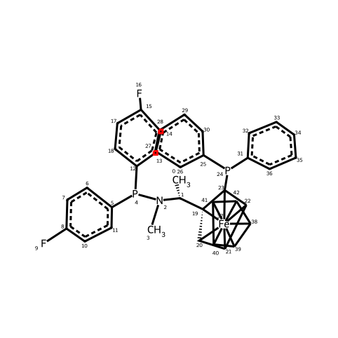 C[C@@H](N(C)P(c1ccc(F)cc1)c1ccc(F)cc1)[C@@]12[CH]3[CH]4[CH]5[C]1(P(c1ccccc1)c1ccccc1)[Fe]45321678[CH]2[CH]1[CH]6[CH]7[CH]28